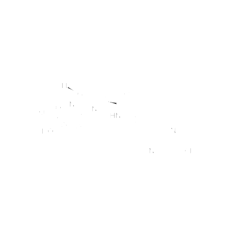 Cc1cnc(CONC(=O)[C@@H]2CC[C@@H]3CN2C(=O)N3OS(=O)(=O)O)cn1